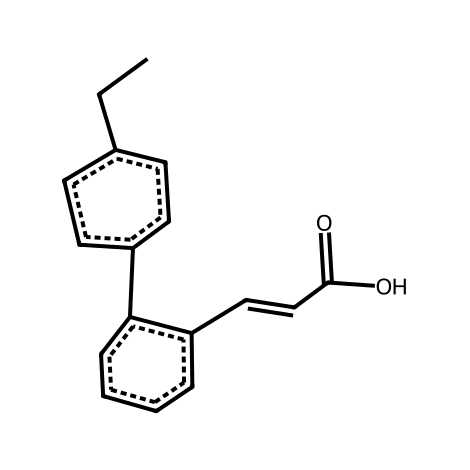 CCc1ccc(-c2ccccc2/C=C/C(=O)O)cc1